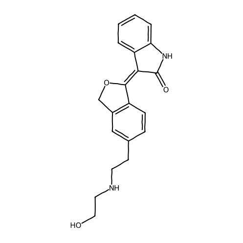 O=C1Nc2ccccc2/C1=C1\OCc2cc(CCNCCO)ccc21